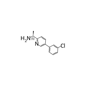 C[C@H](N)c1ccc(-c2cccc(Cl)c2)cn1